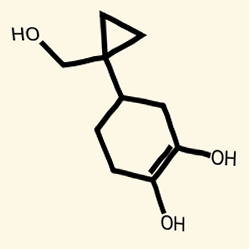 OCC1(C2CCC(O)=C(O)C2)CC1